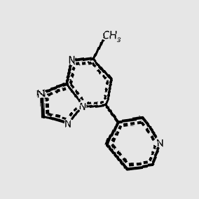 Cc1cc(-c2cccnc2)n2ncnc2n1